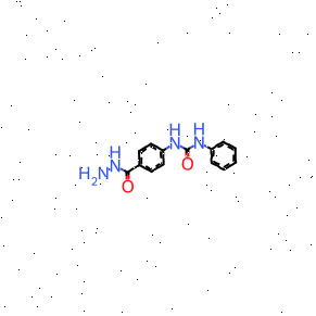 NNC(=O)c1ccc(NC(=O)Nc2ccccc2)cc1